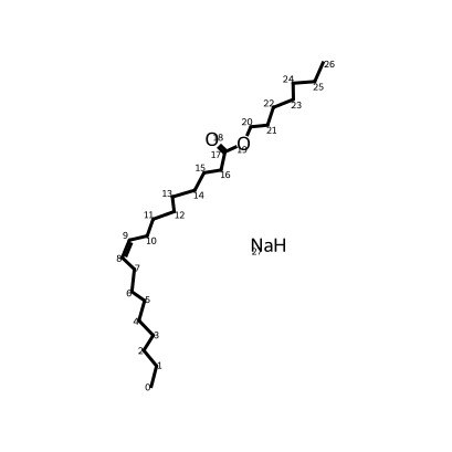 CCCCCCCC/C=C\CCCCCCCC(=O)OCCCCCCC.[NaH]